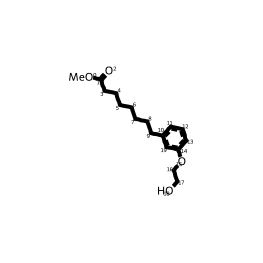 COC(=O)CCCCCCCc1cccc(OCCO)c1